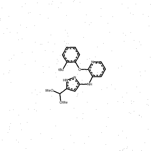 COC(OC)c1cc(Nc2cccnc2Oc2ccccc2C(C)(C)C)n[nH]1